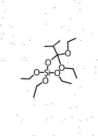 CCOC(OCC)(O[Si](OCC)(OCC)OCC)C(C)C